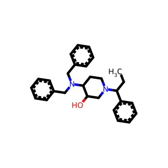 CCC(c1ccccc1)N1CCC(N(Cc2ccccc2)Cc2ccccc2)C(O)C1